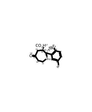 CC(C)(C)[C@]1(c2cc(F)ccc2F)SCCC(=O)C[C@H]1C(=O)O